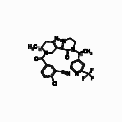 C[C@@H]1Cc2nn3c(c2CN1C(=O)c1ccc(Cl)c(C#N)c1)C(=O)N([C@@H](C)c1ccnc(C(F)(F)F)c1)CC3